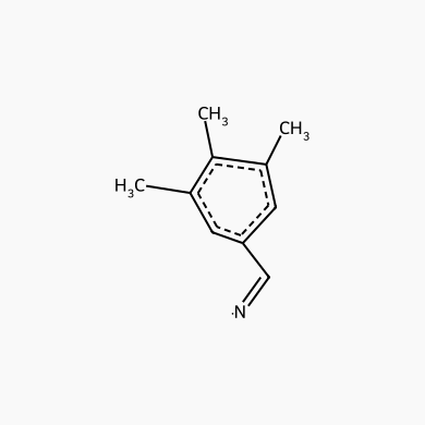 Cc1cc(C=[N])cc(C)c1C